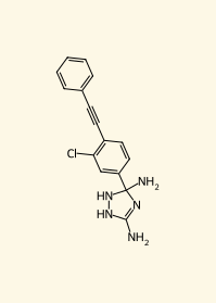 NC1=NC(N)(c2ccc(C#Cc3ccccc3)c(Cl)c2)NN1